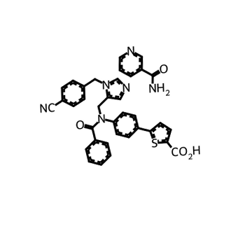 N#Cc1ccc(Cn2cncc2CN(C(=O)c2ccccc2)c2ccc(-c3ccc(C(=O)O)s3)cc2)cc1.NC(=O)c1cccnc1